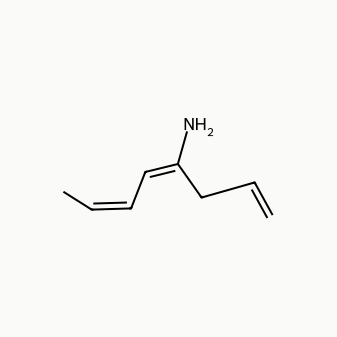 C=CC/C(N)=C\C=C/C